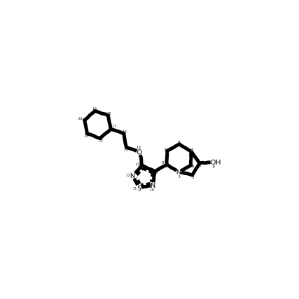 OC1CN2CC1CCC2c1nsnc1OCCC1CCCCC1